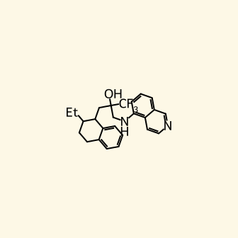 CCC1CCc2ccccc2C1CC(O)(CNc1cccc2cnccc12)C(F)(F)F